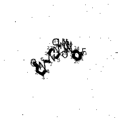 O=C1CCCN1CCN1CCN(C(=O)n2nnn(-c3cccc(F)c3)c2=O)CC1